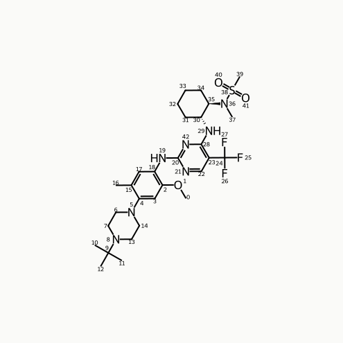 COc1cc(N2CCN(C(C)(C)C)CC2)c(C)cc1Nc1ncc(C(F)(F)F)c(N[C@@H]2CCCC[C@H]2N(C)S(C)(=O)=O)n1